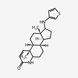 C[C@]12C=CC(=O)NC1CC[C@@H]1[C@H]2CC[C@]2(C)C(Nc3ccsc3)CC[C@@H]12